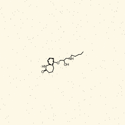 CCCCCNCC(O)COc1cccc2c1CCCC(=O)N2